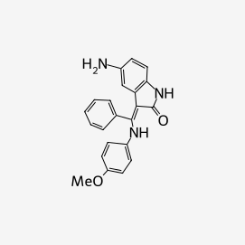 COc1ccc(N/C(=C2\C(=O)Nc3ccc(N)cc32)c2ccccc2)cc1